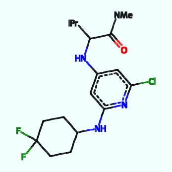 CNC(=O)C(Nc1cc(Cl)nc(NC2CCC(F)(F)CC2)c1)C(C)C